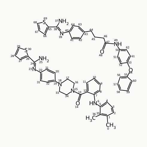 Cc1cccc(Nc2ccccc2C(=O)N2CCN(c3ccc(N=C(N)c4cccs4)cc3)CC2)c1C.NC(=Nc1ccc(CCCC(=O)Nc2ccc(Oc3ccccc3)cc2)cc1)c1cccs1